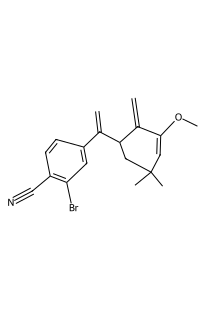 C=C1C(OC)=CC(C)(C)CC1C(=C)c1ccc(C#N)c(Br)c1